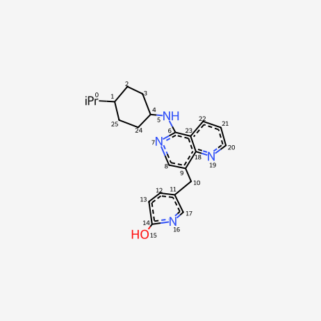 CC(C)C1CCC(Nc2ncc(Cc3ccc(O)nc3)c3ncccc23)CC1